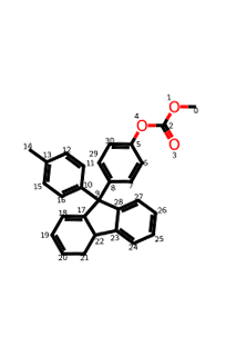 COC(=O)Oc1ccc(C2(c3ccc(C)cc3)C3=CC=CCC3c3ccccc32)cc1